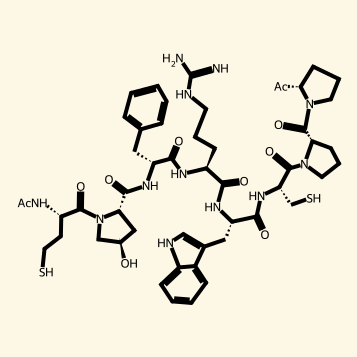 CC(=O)N[C@@H](CCS)C(=O)N1C[C@H](O)C[C@H]1C(=O)N[C@H](Cc1ccccc1)C(=O)N[C@@H](CCCNC(=N)N)C(=O)N[C@@H](Cc1c[nH]c2ccccc12)C(=O)N[C@@H](CS)C(=O)N1CCC[C@H]1C(=O)N1CCC[C@H]1C(C)=O